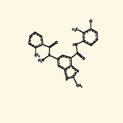 Cc1nc2c(C(=O)Nc3cccc(Cl)c3C)cc(N(N)C(=O)c3ccccc3C(F)(F)F)cc2s1